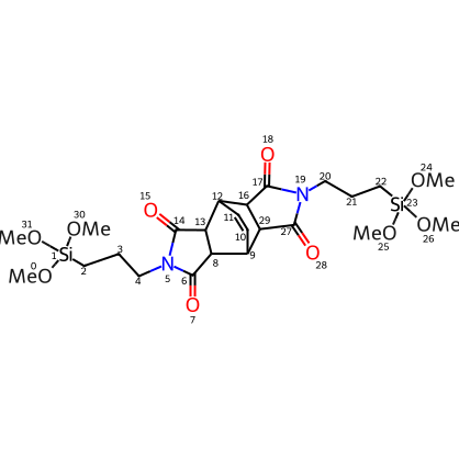 CO[Si](CCCN1C(=O)C2C3C=CC(C2C1=O)C1C(=O)N(CCC[Si](OC)(OC)OC)C(=O)C31)(OC)OC